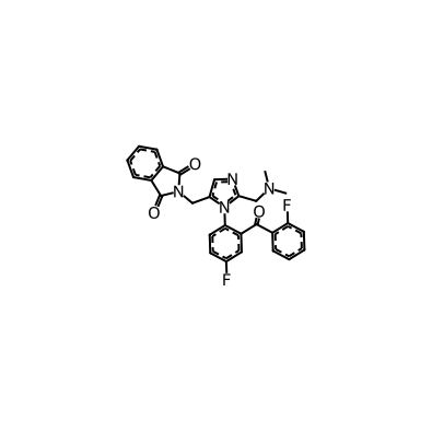 CN(C)Cc1ncc(CN2C(=O)c3ccccc3C2=O)n1-c1ccc(F)cc1C(=O)c1ccccc1F